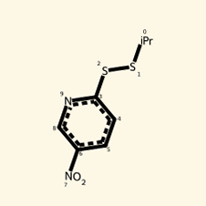 [CH2]C(C)SSc1ccc([N+](=O)[O-])cn1